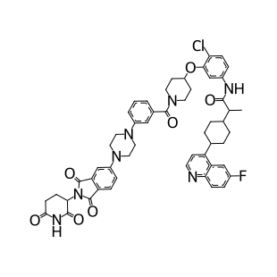 CC(C(=O)Nc1ccc(Cl)c(OC2CCN(C(=O)c3cccc(N4CCN(c5ccc6c(c5)C(=O)N(C5CCC(=O)NC5=O)C6=O)CC4)c3)CC2)c1)C1CCC(c2ccnc3ccc(F)cc23)CC1